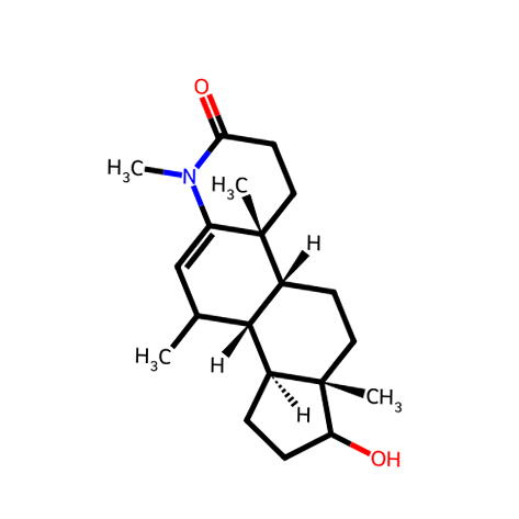 CC1C=C2N(C)C(=O)CC[C@]2(C)[C@@H]2CC[C@]3(C)C(O)CC[C@H]3[C@H]12